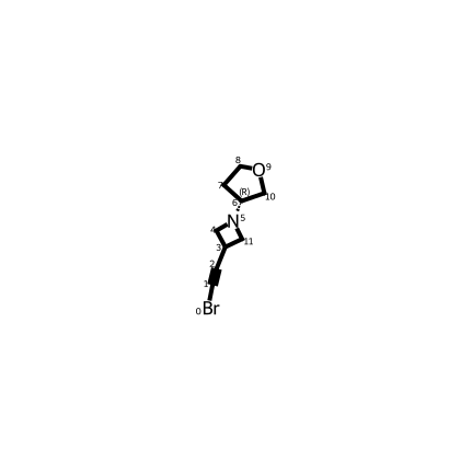 BrC#CC1CN([C@@H]2CCOC2)C1